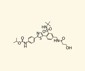 CC(C)OC(=O)Nc1ccc(-c2ncc(-c3ccc(CNC(=O)CCO)cc3S(=O)(=O)NC(C)(C)C)s2)cc1